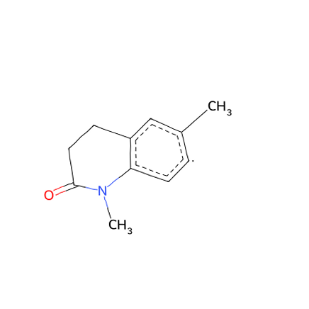 Cc1[c]cc2c(c1)CCC(=O)N2C